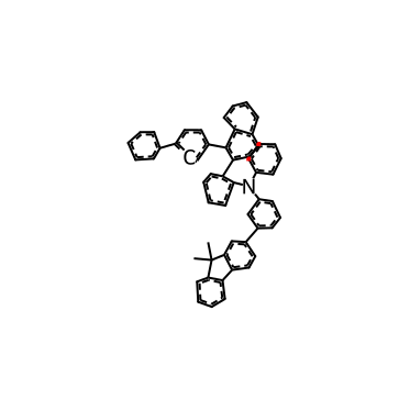 CC1(C)c2ccccc2-c2ccc(-c3cccc(N(c4ccccc4)c4ccccc4-c4ccc5ccccc5c4-c4ccc(-c5ccccc5)cc4)c3)cc21